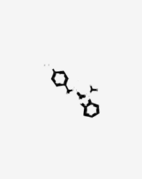 CCCCc1ccc(C(=O)N=c2sc3ccccc3n2C(CC)C(=O)O)cc1